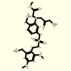 COC(=O)CN(CC(=O)CO)c1cc(CS(=O)(=O)CCc2c(CO)cc(OC)cc2OC)ccc1CO